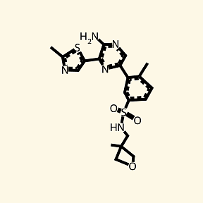 Cc1ncc(-c2nc(-c3cc(S(=O)(=O)NCC4(C)COC4)ccc3C)cnc2N)s1